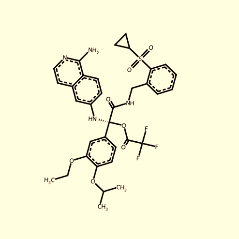 CCOc1cc([C@](Nc2ccc3c(N)nccc3c2)(OC(=O)C(F)(F)F)C(=O)NCc2ccccc2S(=O)(=O)C2CC2)ccc1OC(C)C